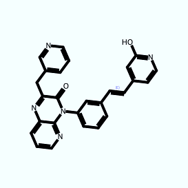 O=c1c(Cc2cccnc2)nc2cccnc2n1-c1cccc(/C=C/c2ccnc(O)c2)c1